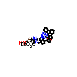 CCCc1nc(C(C)(C)SCCO)c(C(=O)OCC)n1Cc1ccc(-c2ccccc2-c2nnnn2C(c2ccccc2)(c2ccccc2)c2ccccc2)cc1